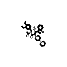 CCc1ccc(CN(C(C)=O)C(=O)C(C(N)c2c[nH]c3ccccc23)N2CCC(N3CCCCC3)CC2)cc1CC